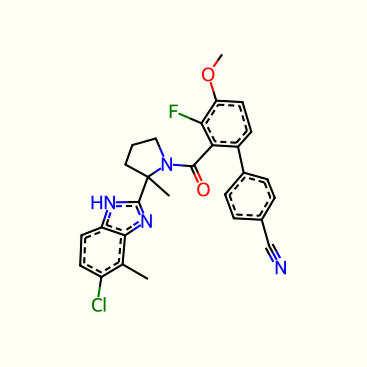 COc1ccc(-c2ccc(C#N)cc2)c(C(=O)N2CCCC2(C)c2nc3c(C)c(Cl)ccc3[nH]2)c1F